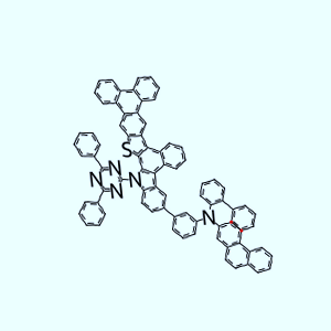 c1ccc(-c2nc(-c3ccccc3)nc(-n3c4ccc(-c5cccc(N(c6ccc7c(ccc8ccccc87)c6)c6ccccc6-c6ccccc6)c5)cc4c4c5ccccc5c5c6cc7c8ccccc8c8ccccc8c7cc6sc5c43)n2)cc1